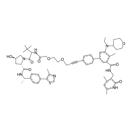 CCN(c1cc(-c2ccc(C#CCOCCOCC(=O)NC(C(=O)N3C[C@H](O)C[C@H]3C(=O)N[C@@H](C)c3ccc(-c4scnc4C)cc3)C(C)(C)C)cc2)cc(C(=O)NCc2c(C)cc(C)[nH]c2=O)c1C)C1CCOCC1